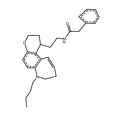 CCCCN1CCC=Cc2c1ccc1c2C(CCNC(=O)Cc2ccccc2)CCO1